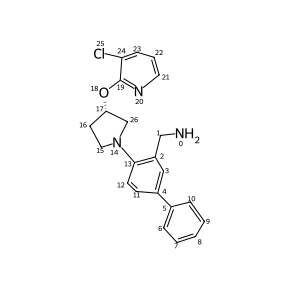 NCc1cc(-c2ccccc2)ccc1N1CC[C@H](Oc2ncccc2Cl)C1